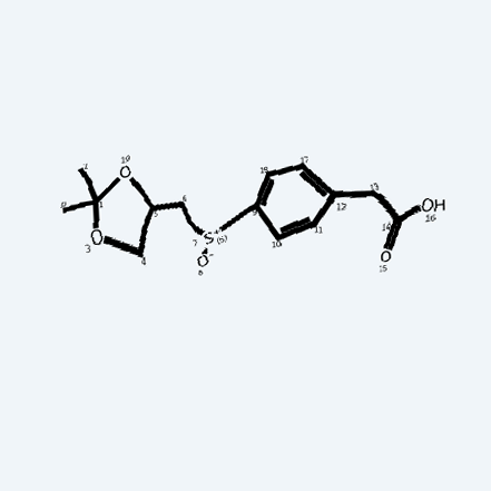 CC1(C)OCC(C[S@@+]([O-])c2ccc(CC(=O)O)cc2)O1